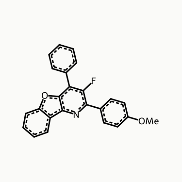 COc1ccc(-c2nc3c(oc4ccccc43)c(-c3ccccc3)c2F)cc1